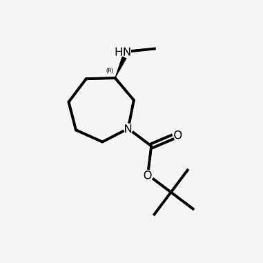 CN[C@@H]1CCCCN(C(=O)OC(C)(C)C)C1